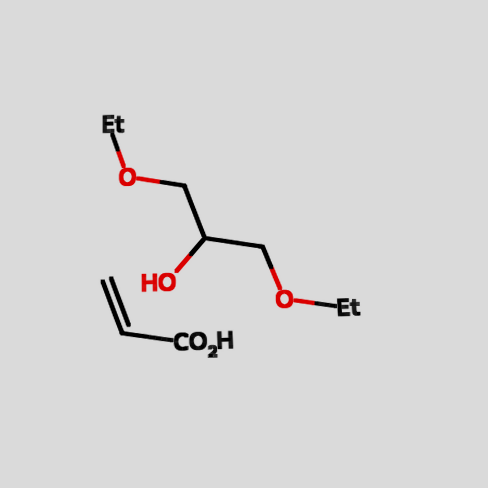 C=CC(=O)O.CCOCC(O)COCC